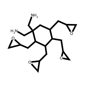 NCC1(CN)CC(CC2CO2)C(CC2CO2)C(CC2CO2)C1CC1CO1